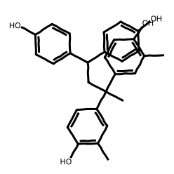 Cc1cc(C(C)(CC(c2ccc(O)cc2)c2ccc(O)cc2)c2ccc(O)c(C)c2)ccc1O